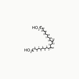 CC(CCCCCCCCC(=O)O)CCC(C)CCCCCCCCC(=O)O